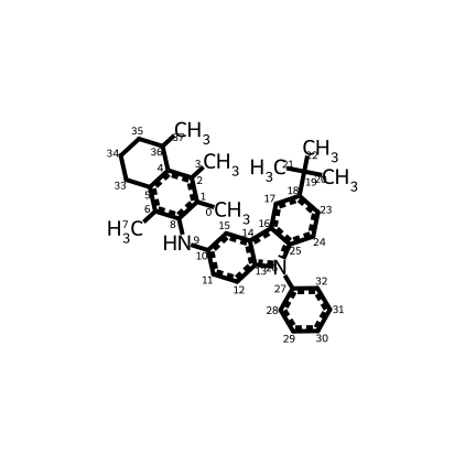 Cc1c(C)c2c(c(C)c1Nc1ccc3c(c1)c1cc(C(C)(C)C)ccc1n3-c1ccccc1)CCCC2C